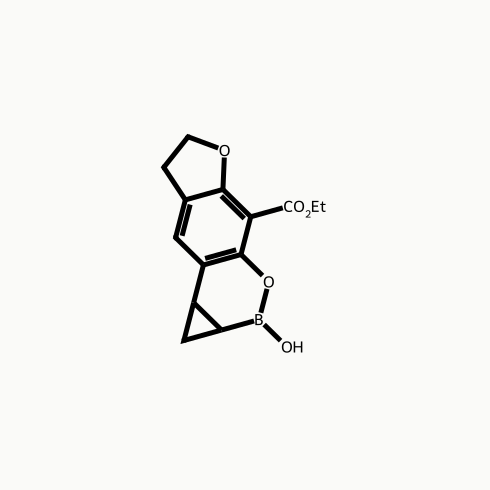 CCOC(=O)c1c2c(cc3c1OB(O)C1CC31)CCO2